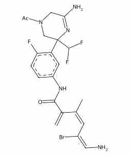 C=C(C(=O)Nc1ccc(F)c(C2(C(F)F)CN(C(C)=O)CC(N)=N2)c1)/C(C)=C\C(Br)=C/N